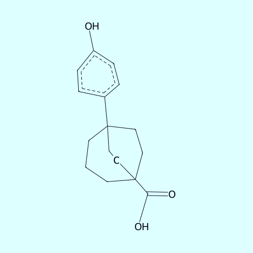 O=C(O)C12CCCC(c3ccc(O)cc3)(CC1)CC2